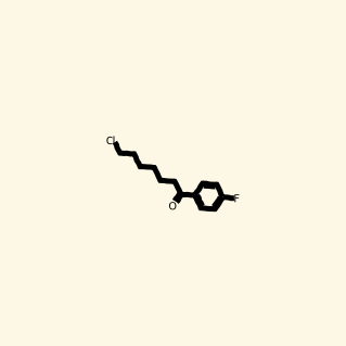 O=C(CCCCCCCl)c1ccc(F)cc1